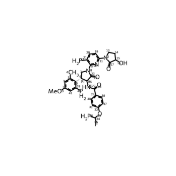 COc1cc(C)c([C@@H]2CN(c3nc(N4CCC(O)C4=O)ccc3P)C(=O)[C@H]2NC(=O)c2ccc(OC(F)P)cc2)c(P)c1